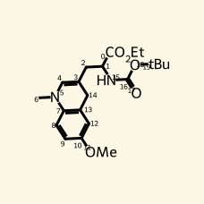 CCOC(=O)C(CC1=CN(C)c2ccc(OC)cc2C1)NC(=O)OC(C)(C)C